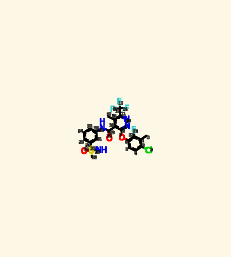 Cc1c(Cl)ccc(Oc2nnc(C(F)(F)F)c(C)c2C(=O)Nc2cccc(S(C)(=N)=O)c2)c1F